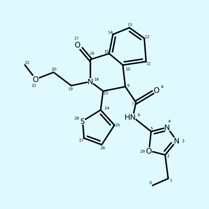 CCc1nnc(NC(=O)C2c3ccccc3C(=O)N(CCOC)C2c2cccs2)o1